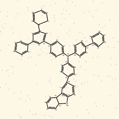 C1=CCC(c2cc(-c3ccccc3)cc(-c3ccc(N(c4ccc(-c5ccccc5)cc4)c4ccc(-c5ccc6c(c5)C5C=CC=CC5O6)cc4)cc3)c2)C=C1